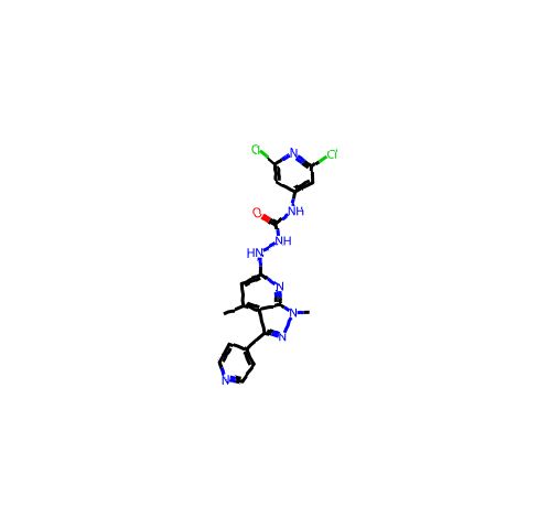 Cc1cc(NNC(=O)Nc2cc(Cl)nc(Cl)c2)nc2c1c(-c1ccncc1)nn2C